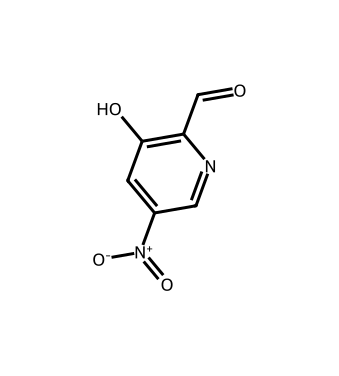 O=Cc1ncc([N+](=O)[O-])cc1O